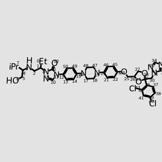 CCC(CNC(CO)C(C)C)n1ncn(-c2ccc(N3CCN(c4ccc(OCC5COC(Cn6cncn6)(c6ccc(Cl)cc6Cl)O5)cc4)CC3)cc2)c1=O